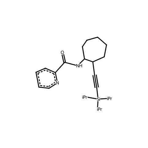 CC(C)[Si](C#CC1CCCCCC1NC(=O)c1ccccn1)(C(C)C)C(C)C